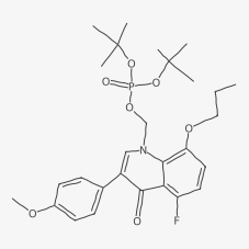 CCCOc1ccc(F)c2c(=O)c(-c3ccc(OC)cc3)cn(COP(=O)(OC(C)(C)C)OC(C)(C)C)c12